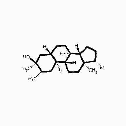 CC[C@H]1CC[C@H]2[C@@H]3CC[C@H]4C[C@](C)(O)[C@@H](C)C[C@@H]4[C@H]3CC[C@]12C